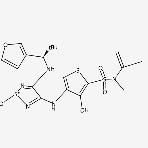 C=C(C)N(C)S(=O)(=O)c1scc(Nc2n[s+]([O-])nc2N[C@@H](c2ccoc2)C(C)(C)C)c1O